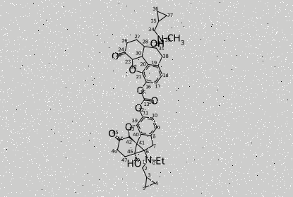 CCN(CC1CC1)C12Cc3ccc(OC(=O)Oc4ccc5c6c4OC4C(=O)CC[C@](O)(C64)[C@H](N(C)CC4CC4)C5)c4c3[C@]13C(O4)C(=O)CC[C@@]23O